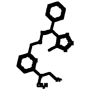 C[C](C)CN(C(=O)O)c1cccc(CON=C(c2ccccc2)c2nnnn2C)n1